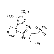 Cc1cc(C(=O)O)c(C)n1-c1ccccc1C(=O)NC(CO)CCS(C)(=O)=O